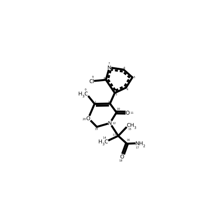 CC1=C(c2cccnc2Cl)C(=O)N(C(C)(C)C(N)=O)CO1